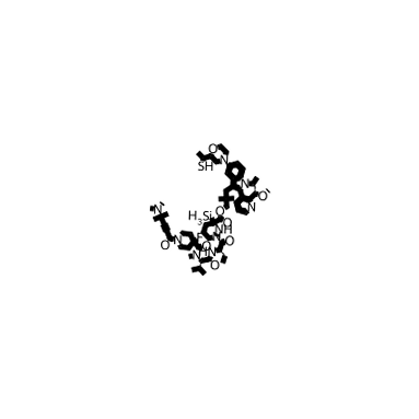 CC[C@H](NC(=O)[C@H](C(C)C)N(C)C(=O)C1(F)CCN(C(=O)C#CC(C)(C)N(C)C)CC1)C(=O)N1CCCC([SiH3])(C(=O)OCC(C)(C)Cc2c(-c3cccnc3[C@H](C)OC)n(CC)c3ccc(N4CCOC(C(C)S)C4)cc23)N1